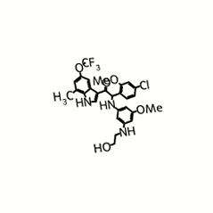 COc1cc(NCCO)cc(NC(C(=O)c2c[nH]c3c(C)cc(OC(F)(F)F)cc23)c2ccc(Cl)cc2OC)c1